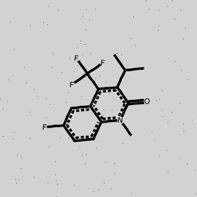 CC(C)c1c(C(F)(F)F)c2cc(F)ccc2n(C)c1=O